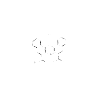 O=C([O-])c1cc2ccccc2c(Cc2c(O)c(C(=O)O)cc3ccccc23)c1O.[K+]